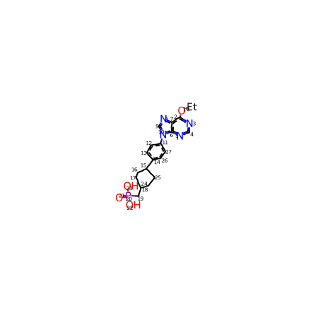 CCOc1ncnc2c1ncn2-c1ccc(C2CCC(CP(=O)(O)O)CC2)cc1